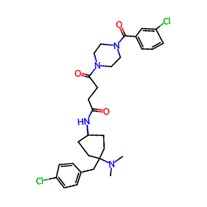 CN(C)C1(Cc2ccc(Cl)cc2)CCC(NC(=O)CCC(=O)N2CCN(C(=O)c3cccc(Cl)c3)CC2)CC1